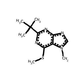 CSc1nc(C(C)(C)C)nc2ncn(C)c12